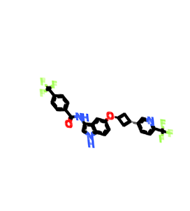 O=C(Nc1c[nH]c2ccc(O[C@H]3C[C@@H](c4ccc(C(F)(F)F)nc4)C3)cc12)c1ccc(C(F)(F)F)cc1